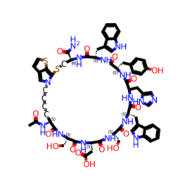 CC(=O)N[C@H]1CCCCn2cc3ccsc3c2SC[C@@H](C(N)=O)NC(=O)[C@H](Cc2c[nH]c3ccccc23)NC(=O)[C@H](Cc2ccc(O)cc2)NC(=O)C(Cc2cnc[nH]2)NC(=O)[C@H](Cc2c[nH]c3ccccc23)NC(=O)[C@H](CO)NC(=O)[C@H](CC(=O)O)NC(=O)[C@H](CO)NC1=O